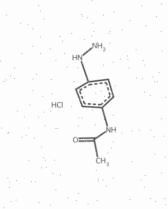 CC(=O)Nc1ccc(NN)cc1.Cl